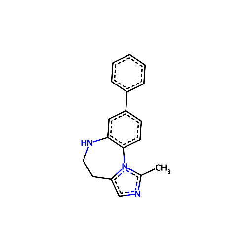 Cc1ncc2n1-c1ccc(-c3ccccc3)cc1NCC2